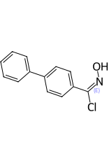 O/N=C(/Cl)c1ccc(-c2ccccc2)cc1